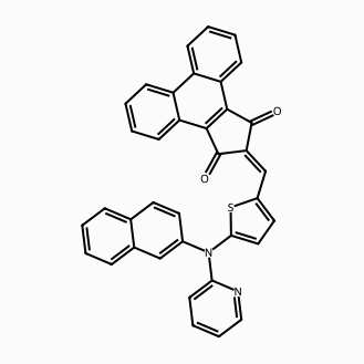 O=C1C(=Cc2ccc(N(c3ccc4ccccc4c3)c3ccccn3)s2)C(=O)c2c1c1ccccc1c1ccccc21